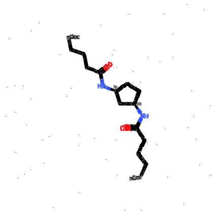 CCCCCCCCCCCCCC(=O)N[C@@H]1CC[C@H](NC(=O)CCCCCCCCCCCCC)C1